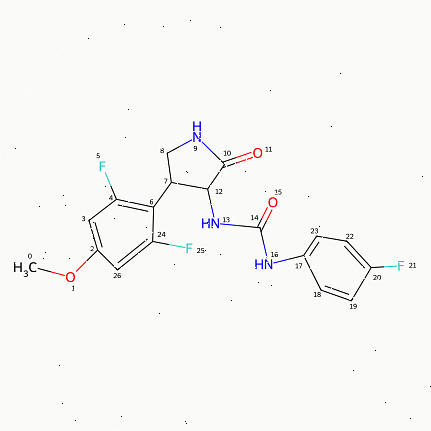 COc1cc(F)c(C2CNC(=O)C2NC(=O)Nc2ccc(F)cc2)c(F)c1